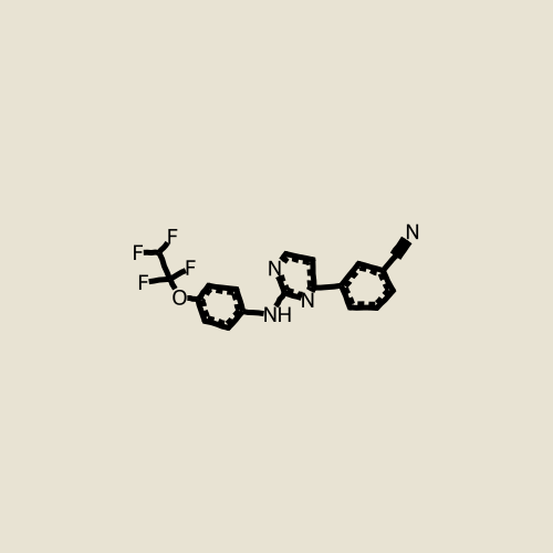 N#Cc1cccc(-c2ccnc(Nc3ccc(OC(F)(F)C(F)F)cc3)n2)c1